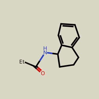 CCC(=O)NC1CCCc2ccccc21